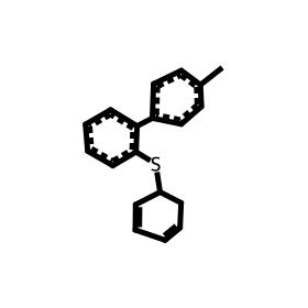 Cc1ccc(-c2ccccc2SC2C=CC=CC2)cc1